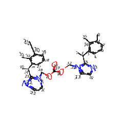 Cc1cccc(C(C)c2nccn2COC(=O)OCn2ccnc2C(C)c2cccc(C)c2C)c1C